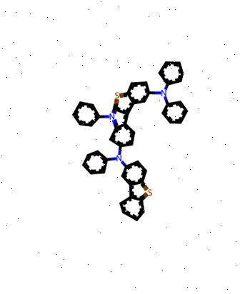 c1ccc(N(c2ccccc2)c2ccc3sc4c(c3c2)c2ccc(N(c3ccccc3)c3ccc5sc6ccccc6c5c3)cc2n4-c2ccccc2)cc1